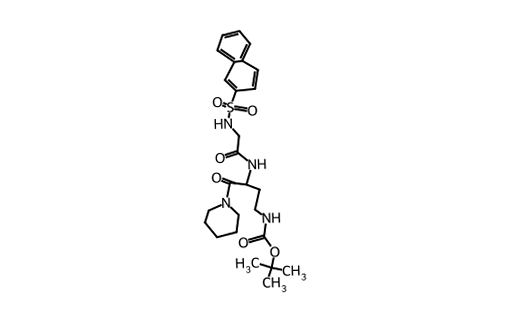 CC(C)(C)OC(=O)NCCC(NC(=O)CNS(=O)(=O)c1ccc2ccccc2c1)C(=O)N1CCCCC1